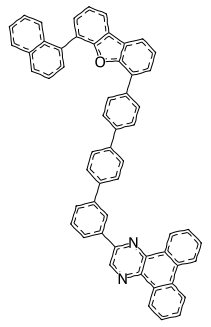 c1cc(-c2ccc(-c3ccc(-c4cccc5c4oc4c(-c6cccc7ccccc67)cccc45)cc3)cc2)cc(-c2cnc3c4ccccc4c4ccccc4c3n2)c1